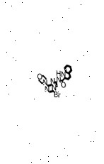 O=C(Nc1cn2c(Br)cnc(N3CCOCC3)c2n1)c1ccc2ccccc2n1